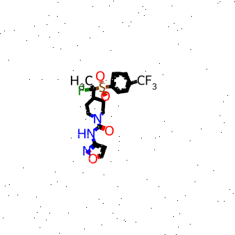 CC(F)(C1CCN(C(=O)Nc2ccon2)CC1)S(=O)(=O)c1ccc(C(F)(F)F)cc1